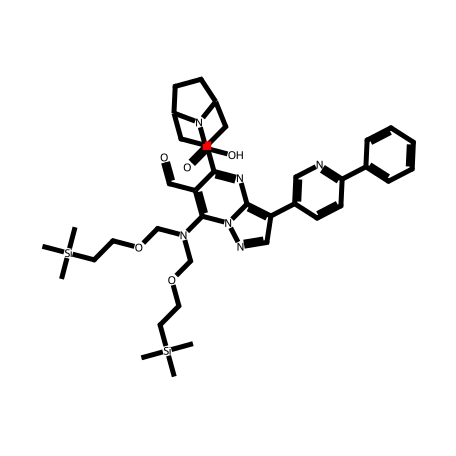 C[Si](C)(C)CCOCN(COCC[Si](C)(C)C)c1c(C=O)c(C2CC3CCC(C2)N3C(=O)O)nc2c(-c3ccc(-c4ccccc4)nc3)cnn12